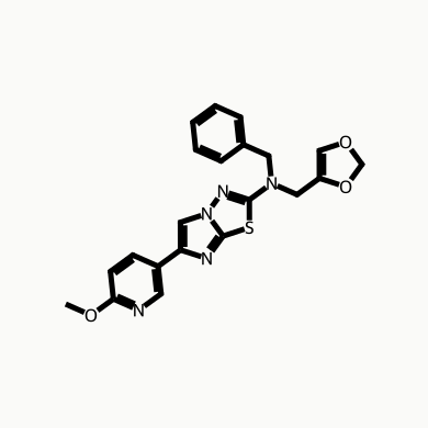 COc1ccc(-c2cn3nc(N(CC4=COCO4)Cc4ccccc4)sc3n2)cn1